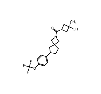 C[C@]1(O)C[C@@H](C(=O)N2CC3(CCC(c4ccc(OC(F)(F)F)cc4)C3)C2)C1